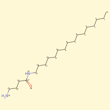 CCCCCCCCCCCCCCCCNC(=O)CCCN